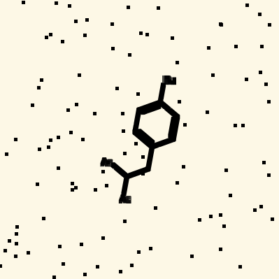 CCC(C)c1ccc(CC(C(C)=O)C(C)=O)cc1